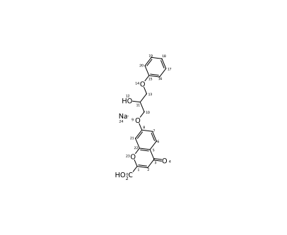 O=C(O)c1cc(=O)c2ccc(OCC(O)COc3ccccc3)cc2o1.[Na]